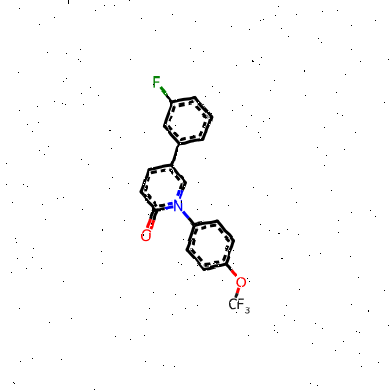 O=c1ccc(-c2cccc(F)c2)cn1-c1ccc(OC(F)(F)F)cc1